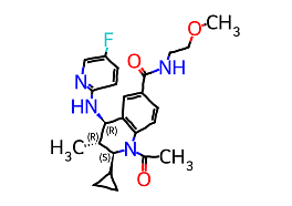 COCCNC(=O)c1ccc2c(c1)[C@H](Nc1ccc(F)cn1)[C@@H](C)[C@H](C1CC1)N2C(C)=O